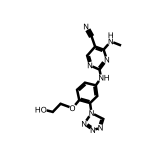 CNc1nc(Nc2ccc(OCCO)c(-n3cnnn3)c2)ncc1C#N